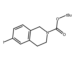 CC(C)(C)OC(=O)N1CCc2cc(I)ccc2C1